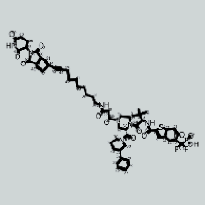 CC(C)(C)C(NC(=O)c1cc2cc(C(F)(F)P(=O)(O)O)ccc2s1)C(=O)N1CCN(C(=O)CC(=O)NCCCCCCCCC#Cc2ccc3c(c2)C(=O)N(C2CCC(=O)NC2=O)C3=O)C[C@H]1C(=O)N1CCC[C@H](c2ccccc2)C1